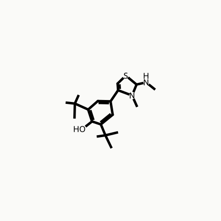 CNC1SC=C(c2cc(C(C)(C)C)c(O)c(C(C)(C)C)c2)N1C